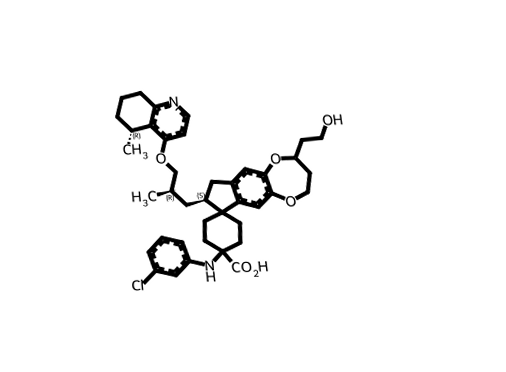 C[C@@H](COc1ccnc2c1[C@H](C)CCC2)C[C@H]1Cc2cc3c(cc2C12CCC(Nc1cccc(Cl)c1)(C(=O)O)CC2)OCCC(CCO)O3